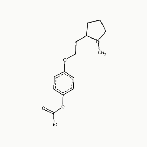 CCC(=O)Oc1ccc(OCCC2CCCN2C)cc1